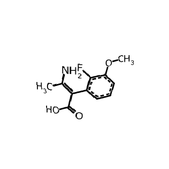 COc1cccc(C(C(=O)O)=C(C)N)c1F